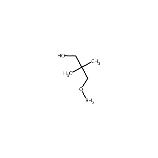 BOCC(C)(C)CO